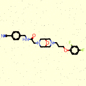 N#Cc1ccc(CNC(=O)CN2CC3CN(CCCOc4ccc(F)cc4F)CC(C2)O3)cc1